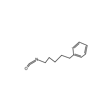 O=C=NCCCCCc1[c]cccc1